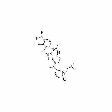 Cc1nc(N[C@H](C)c2cccc(C(F)F)c2F)c2cc(N(C)c3ccc(=O)n(CCN(C)C)c3)ccc2n1